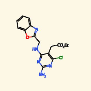 CCOC(=O)Cc1c(Cl)nc(N)nc1NCc1nc2ccccc2o1